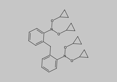 c1ccc(N(OC2CC2)OC2CC2)c(Cc2ccccc2N(OC2CC2)OC2CC2)c1